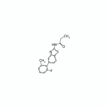 CCC(=O)Nc1nc2cc(-c3c(C)cccc3F)ccc2s1